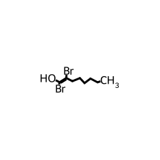 CCCCCC/C(Br)=C(/O)Br